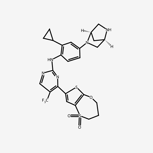 O=S1(=O)CCCOc2sc(-c3nc(Nc4ccc(N5C[C@H]6C[C@@H]5CN6)cc4C4CC4)ncc3C(F)(F)F)cc21